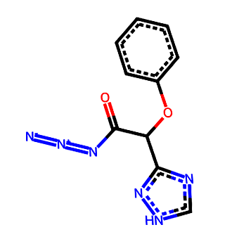 [N-]=[N+]=NC(=O)C(Oc1ccccc1)c1nc[nH]n1